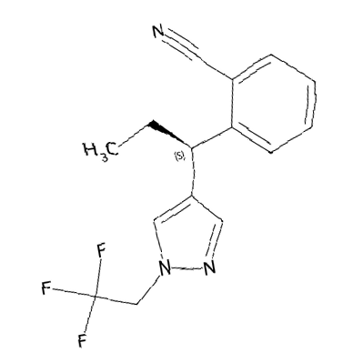 CC[C@H](c1cnn(CC(F)(F)F)c1)c1ccccc1C#N